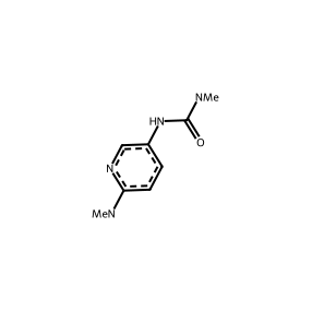 CNC(=O)Nc1ccc(NC)nc1